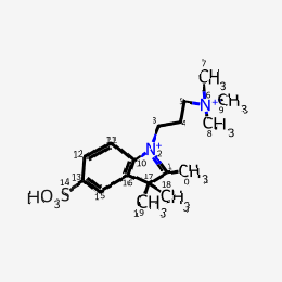 CC1=[N+](CCC[N+](C)(C)C)c2ccc(S(=O)(=O)O)cc2C1(C)C